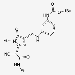 CCNC(=O)C(C#N)=c1sc(=CNc2cccc(NC(=O)OC(C)(C)C)c2)c(=O)n1CC